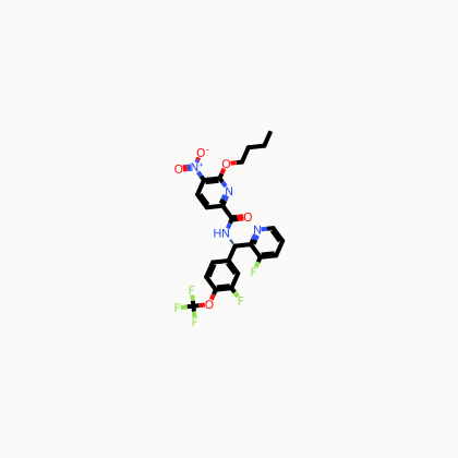 CCCCOc1nc(C(=O)N[C@@H](c2ccc(OC(F)(F)F)c(F)c2)c2ncccc2F)ccc1[N+](=O)[O-]